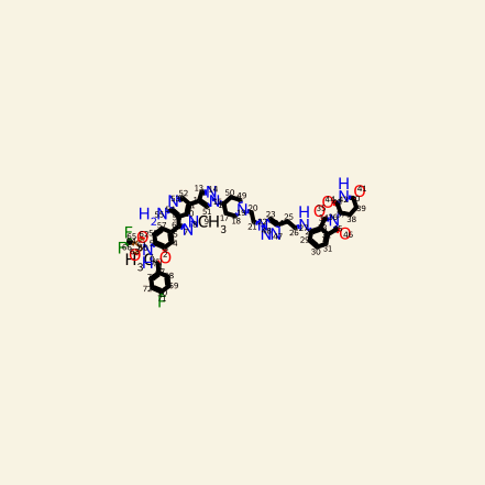 C[C@H](Oc1cc(-c2nn(C)c3c(-c4cnn(C5CCN(CCn6cc(CCNc7cccc8c7C(=O)N(C7CCC(=O)NC7=O)C8=O)nn6)CC5)c4)cnc(N)c23)ccc1NS(=O)(=O)C(F)F)c1ccc(F)cc1